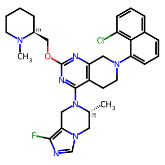 C[C@@H]1Cn2cnc(F)c2CN1c1nc(OC[C@@H]2CCCCN2C)nc2c1CCN(c1cccc3cccc(Cl)c13)C2